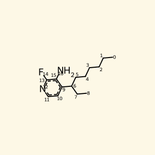 CCCCCCC(CC)c1ccnc(F)c1N